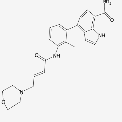 Cc1c(NC(=O)C=CCN2CCOCC2)cccc1-c1ccc(C(N)=O)c2[nH]ccc12